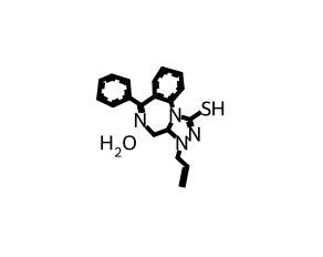 C=CCN1N=C(S)N2c3ccccc3C(c3ccccc3)=NCC12.O